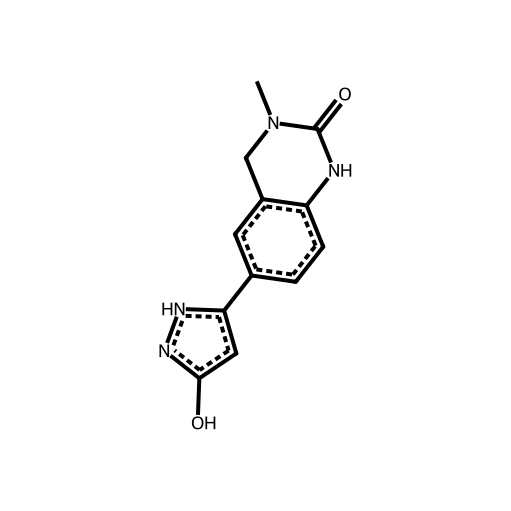 CN1Cc2cc(-c3cc(O)n[nH]3)ccc2NC1=O